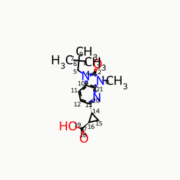 Cn1c(=O)n(CC(C)(C)C)c2ccc([C@@H]3C[C@H]3C(=O)O)nc21